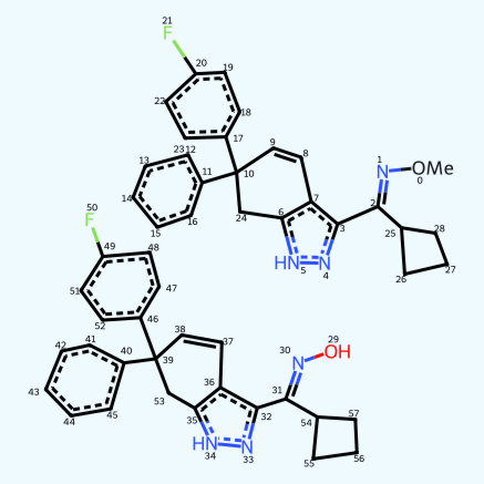 CON=C(c1n[nH]c2c1C=CC(c1ccccc1)(c1ccc(F)cc1)C2)C1CCC1.ON=C(c1n[nH]c2c1C=CC(c1ccccc1)(c1ccc(F)cc1)C2)C1CCC1